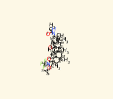 CC(=O)N[C@H]1CC[C@@]2(C)C(CC[C@]3(C)[C@@H]2C(=O)C=C2[C@@H]4C[C@@](C)(C(=O)N(OC5CC5)C(F)(F)F)CC[C@]4(C)CC[C@]23C)C1(C)C